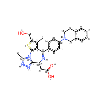 Cc1c(CO)sc2c1C(c1ccc(N3CCc4ccccc4C3)cc1)=N[C@@H](CC(=O)O)c1nnc(C)n1-2